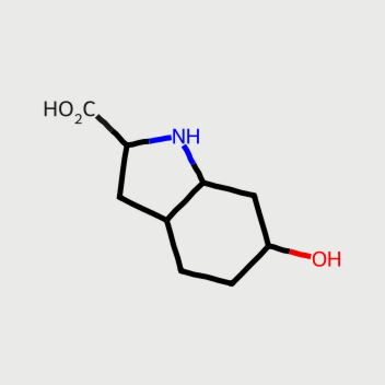 O=C(O)C1CC2CCC(O)CC2N1